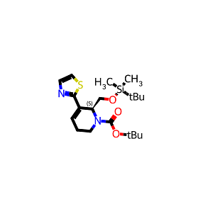 CC(C)(C)OC(=O)N1CCC=C(c2nccs2)[C@H]1CO[Si](C)(C)C(C)(C)C